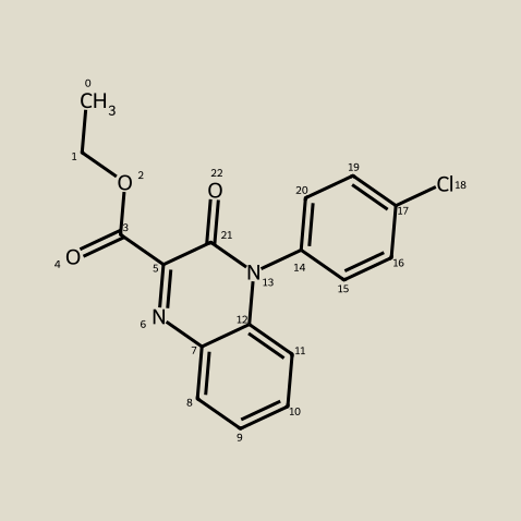 CCOC(=O)c1nc2ccccc2n(-c2ccc(Cl)cc2)c1=O